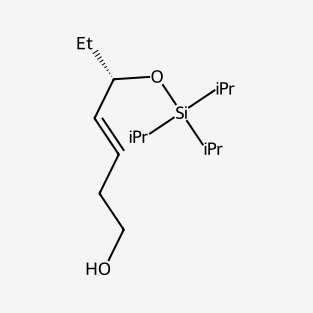 CC[C@@H](C=CCCO)O[Si](C(C)C)(C(C)C)C(C)C